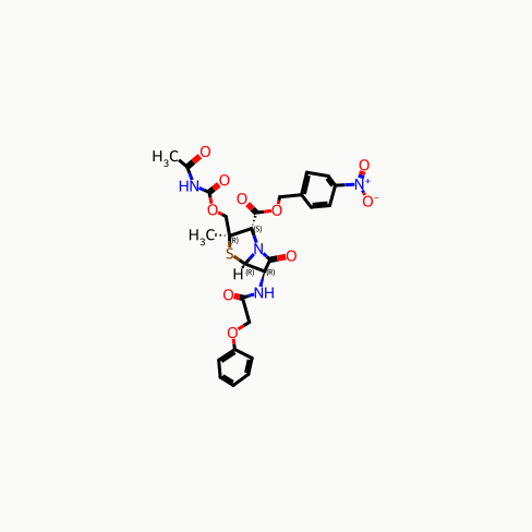 CC(=O)NC(=O)OC[C@]1(C)S[C@@H]2[C@H](NC(=O)COc3ccccc3)C(=O)N2[C@H]1C(=O)OCc1ccc([N+](=O)[O-])cc1